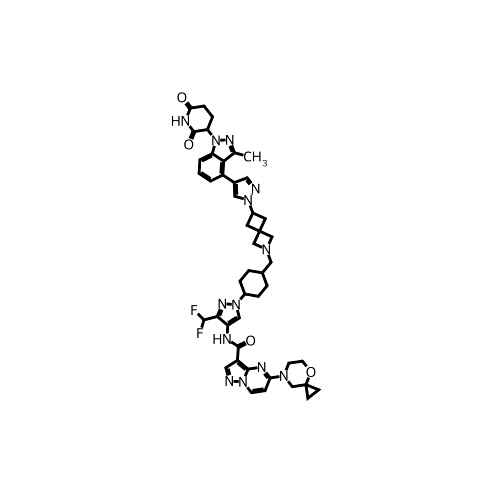 Cc1nn(C2CCC(=O)NC2=O)c2cccc(-c3cnn(C4CC5(C4)CN(CC4CCC(n6cc(NC(=O)c7cnn8ccc(N9CCOC%10(CC%10)C9)nc78)c(C(F)F)n6)CC4)C5)c3)c12